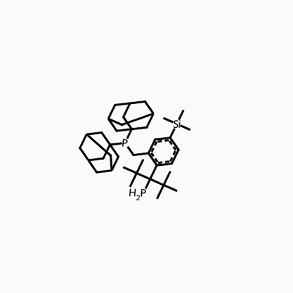 CC(C)(C)C(P)(c1ccc([Si](C)(C)C)cc1CP(C12CC3CC(CC(C3)C1)C2)C12CC3CC(CC(C3)C1)C2)C(C)(C)C